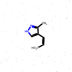 Cc1n[nH]cc1/C=C\C(=O)O